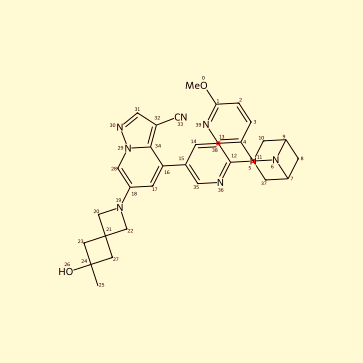 COc1ccc(CN2C3CC2CN(c2ccc(-c4cc(N5CC6(C5)CC(C)(O)C6)cn5ncc(C#N)c45)cn2)C3)cn1